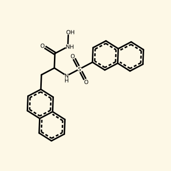 O=C(NO)C(Cc1ccc2ccccc2c1)NS(=O)(=O)c1ccc2ccccc2c1